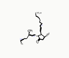 CC/C=C\CC(O)/C=C/[C@H]1C(=O)CC(O)C1C/C=C\CCCC(=O)O